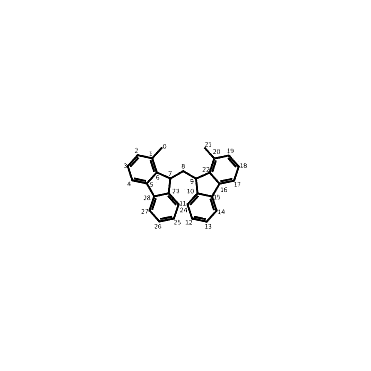 Cc1cccc2c1C(CC1c3ccccc3-c3cccc(C)c31)c1ccccc1-2